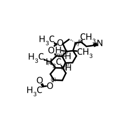 CC[C@@H]1C2C[C@H](OC(C)=O)CC[C@@]2(C)[C@H]2CCC3(C)[C@@H]([C@H](C)CC#N)CC[C@H]3[C@@H]2[C@@H]1OC(C)=O